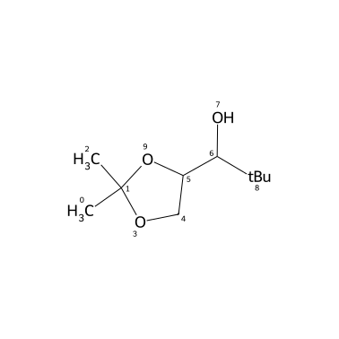 CC1(C)OCC(C(O)C(C)(C)C)O1